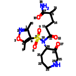 Cc1noc(C)c1S(=O)(=O)N(C(=O)[CH]CC(C)C(N)=O)[C@H]1CCCNCC1=O